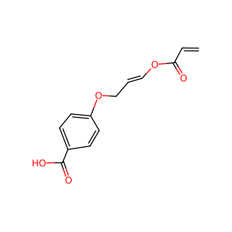 C=CC(=O)OC=CCOc1ccc(C(=O)O)cc1